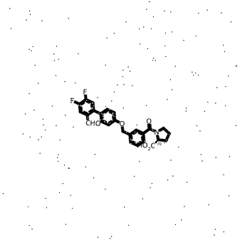 O=Cc1cc(F)c(F)cc1-c1ccc(OCc2cccc(C(=O)N3CCC[C@H]3C(=O)O)c2)cc1